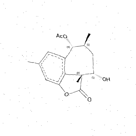 CC(=O)O[C@H]1c2cc(C)cc3c2[C@@](C)(C(=O)O3)[C@@H](O)C[C@@H]1C